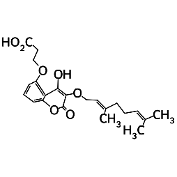 CC(C)=CCC/C(C)=C/COc1c(O)c2c(OCCC(=O)O)cccc2oc1=O